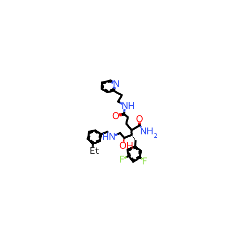 CCc1cccc(CNC[C@H](O)[C@@H](Cc2cc(F)cc(F)c2)C(CCC(=O)NCCc2ccccn2)C(N)=O)c1